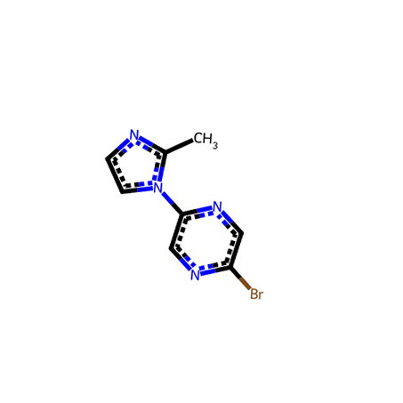 Cc1nccn1-c1cnc(Br)cn1